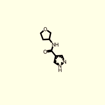 O=C(NC1CCOC1)c1cn[nH]c1